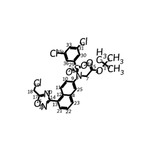 CC(C)(C)OC(=O)CN(c1ccc2c(-c3noc(CCl)n3)cccc2c1)S(=O)(=O)c1cc(Cl)cc(Cl)c1